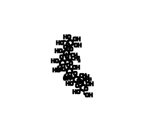 CC(=O)N[C@H]1[C@H](O[C@H]2[C@@H](O)[C@@H](CO)O[C@@H](O[C@H]3[C@@H](O)[C@H](O)[C@H](O[C@H]4[C@H](O)[C@@H](CO)OC(O)[C@@H]4NC(C)=O)O[C@H]3C)[C@@H]2O)O[C@H](CO)[C@@H](O)[C@@H]1O[C@@H]1O[C@@H](C)[C@@H](O[C@@H]2O[C@H](CO)[C@H](O)[C@H](O)[C@H]2O)[C@@H](O)[C@@H]1O